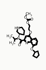 COC(=O)OCCOc1cc(C(=O)N(C(C)C)[C@@H]2CCCNC2)nc2c(OC3CCCC3)cccc12